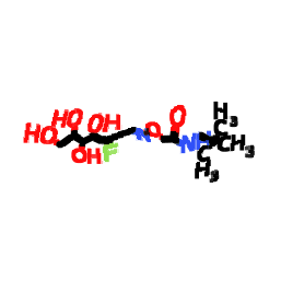 CC(C)(C)CNC(=O)CO/N=C/C(F)C(O)C(O)C(O)CO